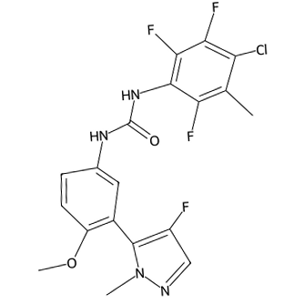 COc1ccc(NC(=O)Nc2c(F)c(C)c(Cl)c(F)c2F)cc1-c1c(F)cnn1C